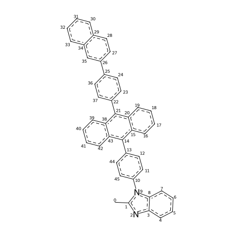 Cc1nc2ccccc2n1-c1ccc(-c2c3ccccc3c(-c3ccc(-c4ccc5ccccc5c4)cc3)c3ccccc23)cc1